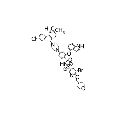 CC1(C)CCC(CN2CCN(c3ccc(C(=O)NS(=O)(=O)c4cnc(OCC5CCOCC5)c(Br)c4)c(Oc4cccc5[nH]ccc45)c3)CC2)=C(c2ccc(Cl)cc2)C1